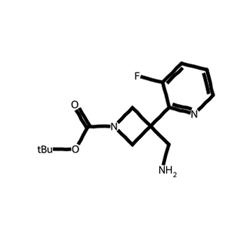 CC(C)(C)OC(=O)N1CC(CN)(c2ncccc2F)C1